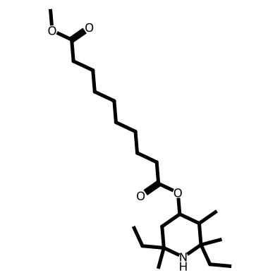 CCC1(C)CC(OC(=O)CCCCCCCCC(=O)OC)C(C)C(C)(CC)N1